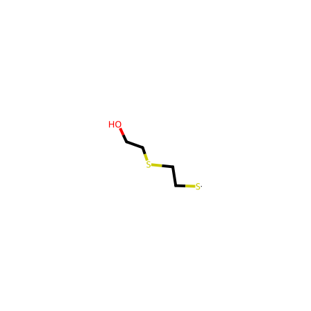 OCCSCC[S]